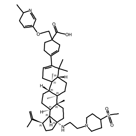 C=C(C)[C@@H]1CC[C@]2(NCCN3CCC(S(C)(=O)=O)CC3)CC[C@]3(C)[C@H](CC[C@@H]4[C@@]5(C)CC=C(C6=CCC(COC7=CCC(C)N=C7)(C(=O)O)CC6)C(C)(C)[C@@H]5CC[C@]43C)[C@@H]12